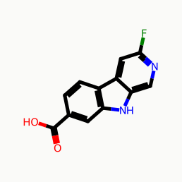 O=C(O)c1ccc2c(c1)[nH]c1cnc(F)cc12